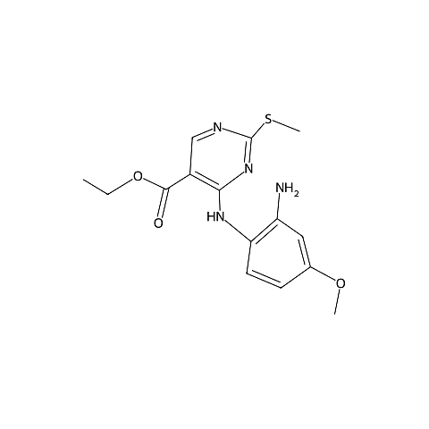 CCOC(=O)c1cnc(SC)nc1Nc1ccc(OC)cc1N